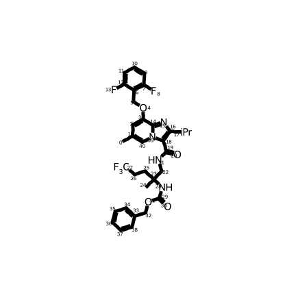 Cc1cc(OCc2c(F)cccc2F)c2nc(C(C)C)c(C(=O)NCC(C)(CCC(F)(F)F)NC(=O)OCc3ccccc3)n2c1